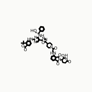 CC1(C)OC(=O)c2ccc(Nc3ncc(-c4nnc(C5CCN(C(=O)CNc6cccc7c6C(=O)N(C6CCC(=O)NC6=O)C7=O)CC5)o4)c(N[C@H](CO)c4ccccc4)n3)cc21